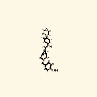 Oc1ccc(CN2CC3C(CNc4ccc(N5CCOCC5)c(F)c4)C3C2)cc1